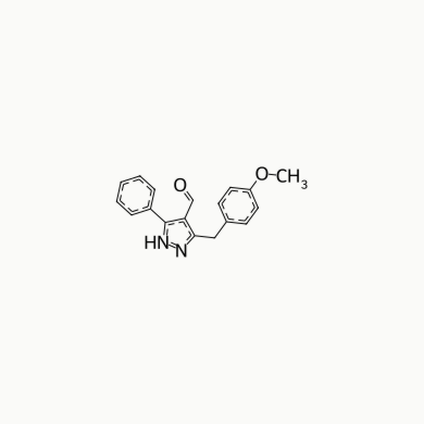 COc1ccc(Cc2n[nH]c(-c3ccccc3)c2C=O)cc1